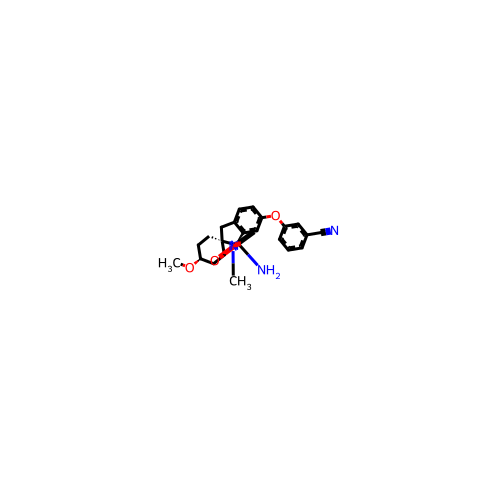 CO[C@H]1CC[C@]2(CC1)Cc1ccc(Oc3cccc(C#N)c3)cc1[C@@]21N=C(N)N(C)C1=O